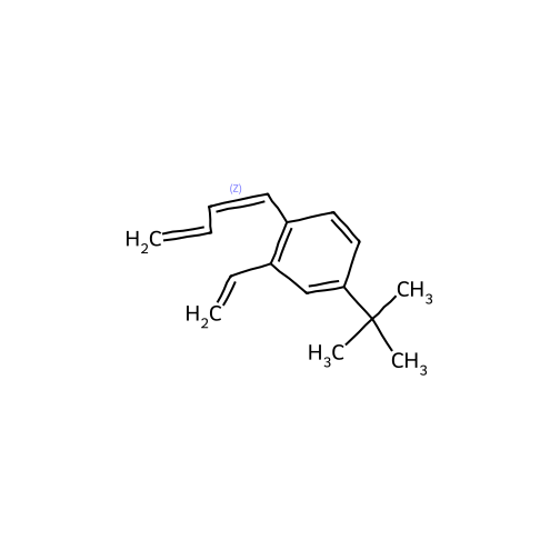 C=C/C=C\c1ccc(C(C)(C)C)cc1C=C